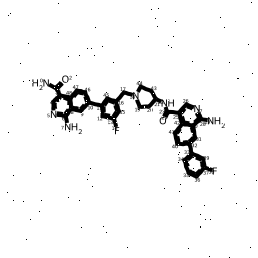 NC(=O)c1cnc(N)c2cc(-c3cc(F)cc(CN4CCC(NC(=O)c5cnc(N)c6cc(-c7cccc(F)c7)ccc56)CC4)c3)ccc12